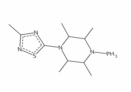 Cc1nsc(N2C(C)C(C)N(P)C(C)C2C)n1